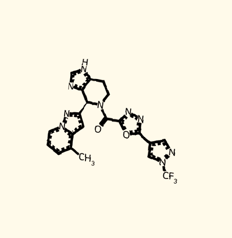 Cc1cccn2nc([C@H]3c4nc[nH]c4CCN3C(=O)c3nnc(-c4cnn(C(F)(F)F)c4)o3)cc12